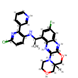 C[C@@H](Nc1ccc(Cl)nc1-c1cccnc1)c1cc(F)cc2nc3c(nc12)N1CCOC[C@H]1CO3